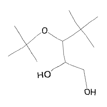 CC(C)(C)OC(C(O)CO)C(C)(C)C